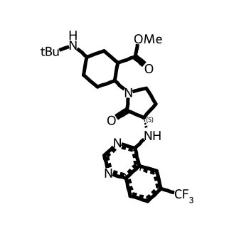 COC(=O)C1CC(NC(C)(C)C)CCC1N1CC[C@H](Nc2ncnc3ccc(C(F)(F)F)cc23)C1=O